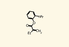 C=C(CC)C(=O)Oc1ccccc1CCC